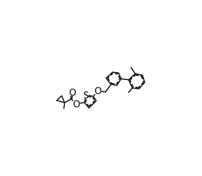 Cc1cccc(C)c1-c1cccc(COc2ccc(OC(=O)C3(C)CC3)s2)c1